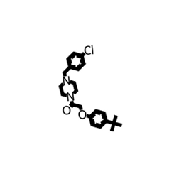 CC(C)(C)c1ccc(OCC(=O)N2CCN(Cc3ccc(Cl)cc3)CC2)cc1